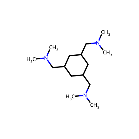 CN(C)CC1CC(CN(C)C)CC(CN(C)C)C1